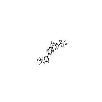 CCC(Oc1ccc(-c2cnc(NNC(=O)C(F)(F)Br)cn2)cn1)C(C)(F)F